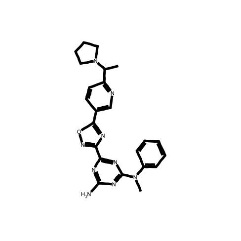 CC(c1ccc(-c2nc(-c3nc(N)nc(N(C)c4ccccc4)n3)no2)cn1)N1CCCC1